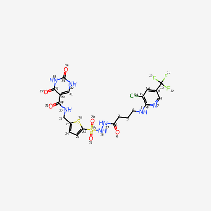 O=C(CCCNc1ncc(C(F)(F)F)cc1Cl)NNS(=O)(=O)c1ccc(CNC(=O)c2c[nH]c(=O)[nH]c2=O)s1